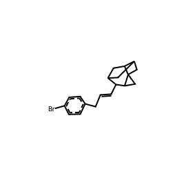 Brc1ccc(C/C=C/C2C3CC4CC5(CC25)C4C3)cc1